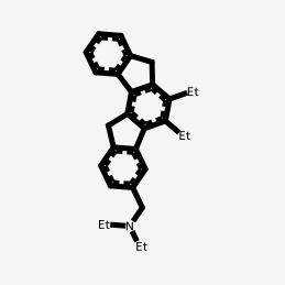 CCc1c(CC)c2c(c3c1Cc1ccccc1-3)Cc1ccc(CN(CC)CC)cc1-2